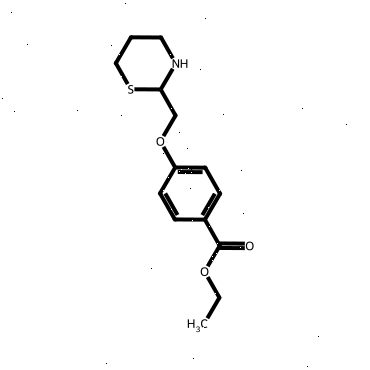 CCOC(=O)c1ccc(OCC2NCCCS2)cc1